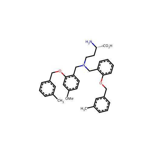 COc1ccc(CN(CC[C@H](N)C(=O)O)Cc2ccccc2OCc2cccc(C)c2)c(OCc2cccc(C)c2)c1